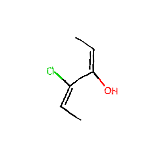 C/C=C(O)\C(Cl)=C/C